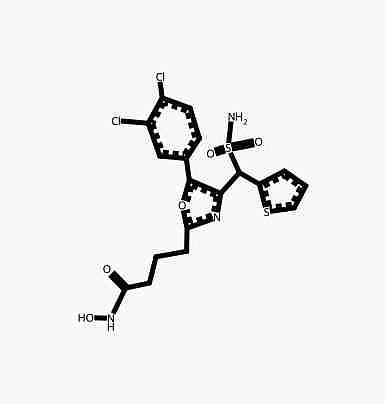 NS(=O)(=O)C(c1cccs1)c1nc(CCCC(=O)NO)oc1-c1ccc(Cl)c(Cl)c1